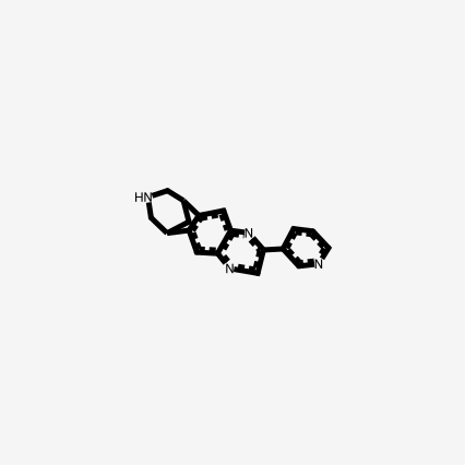 c1cncc(-c2cnc3cc4c(cc3n2)C2CNCC4C2)c1